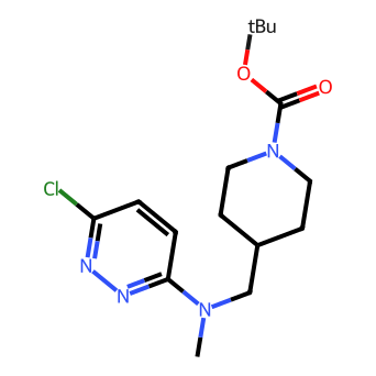 CN(CC1CCN(C(=O)OC(C)(C)C)CC1)c1ccc(Cl)nn1